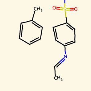 CC=Nc1ccc(S(N)(=O)=O)cc1.Cc1ccccc1